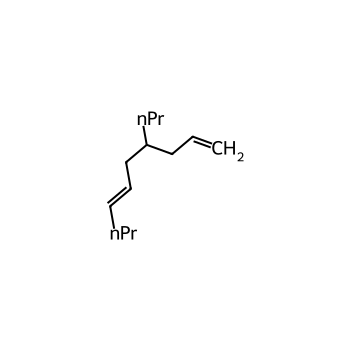 C=CCC(CC=CCCC)CCC